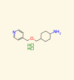 Cl.Cl.NC1CCC(COCc2ccncc2)CC1